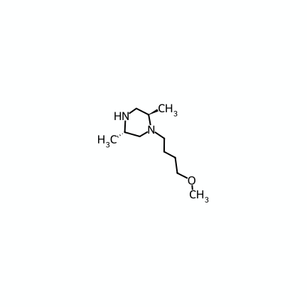 COCCCCN1C[C@H](C)NC[C@H]1C